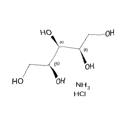 Cl.N.OC[C@@H](O)[C@H](O)[C@@H](O)CO